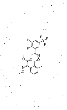 CO/N=C(/C(=O)OC)c1cccc(C)c1CO/N=C(\C)c1cc(C(F)(F)F)cc(F)c1F